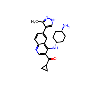 Cc1n[nH]cc1-c1ccc2ncc(C(=O)C3CC3)c(N[C@H]3CC[C@H](N)CC3)c2c1